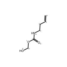 C=CCCNC(=O)OCO